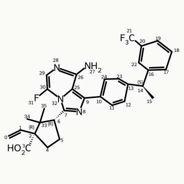 C=C[C@]1(C(=O)O)CC[C@@H](c2nc(-c3ccc([C@H](C)c4cccc(C(F)(F)F)c4)cc3)c3c(N)ncc(F)n23)C1(C)C